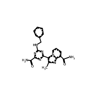 Cc1nc2c(C(N)=O)cccn2c1-c1nc(NCc2ccccc2)nc(C(N)=O)n1